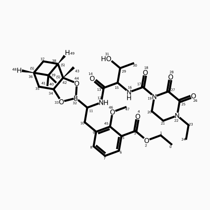 CCOC(=O)c1cccc(CC(NC(=O)C(NC(=O)N2CCN(CC)C(=O)C2=O)C(C)O)B2OC3C[C@@H]4C[C@@H](C4(C)C)[C@]3(C)O2)c1OC